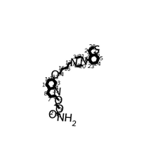 NC(=O)OCOc1ccc2ccc(OCCCCN3CCN(c4cccc5sccc45)CC3)cc2n1